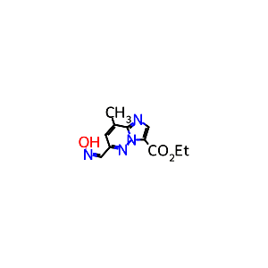 CCOC(=O)c1cnc2c(C)cc(/C=N\O)nn12